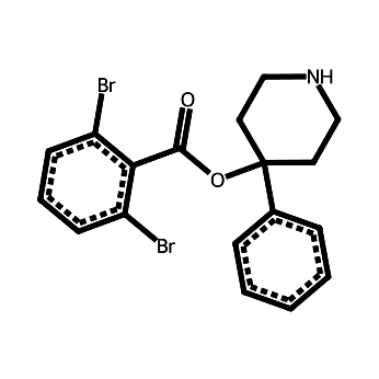 O=C(OC1(c2ccccc2)CCNCC1)c1c(Br)cccc1Br